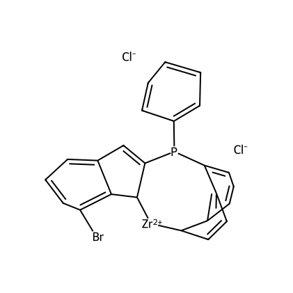 Brc1cccc2c1[CH]1[Zr+2][CH]3C=Cc4c3cccc4P(c3ccccc3)C1=C2.[Cl-].[Cl-]